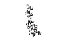 CC(=O)CN1CCC(CCN2CCN(c3ccc(F)c(C#N)c3F)CC2)CC1